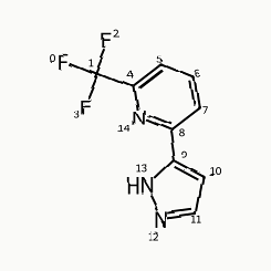 FC(F)(F)c1cccc(-c2ccn[nH]2)n1